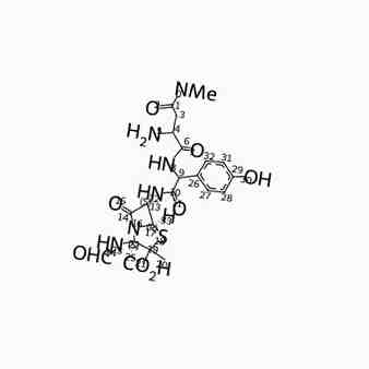 CNC(=O)CC(N)C(=O)NC(C(=O)N[C@H]1C(=O)N2[C@@H]1SC(C)(C)[C@]2(NC=O)C(=O)O)c1ccc(O)cc1